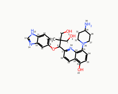 CC(CO)(CO)C(Oc1ccc2[nH]cnc2c1)c1ccc2c(O)ccc(N3CCC(N)CC3)c2n1